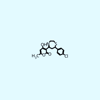 Cc1cc(O)c(C2=NCCSC(c3ccc(Cl)cc3)C2)c(=O)o1